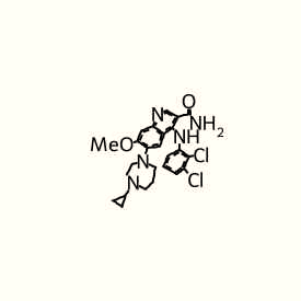 COc1cc2ncc(C(N)=O)c(Nc3cccc(Cl)c3Cl)c2cc1N1CCCN(C2CC2)CC1